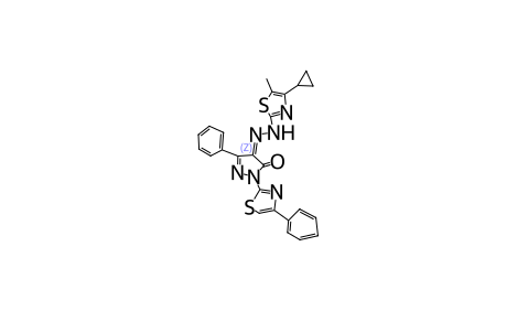 Cc1sc(N/N=C2\C(=O)N(c3nc(-c4ccccc4)cs3)N=C2c2ccccc2)nc1C1CC1